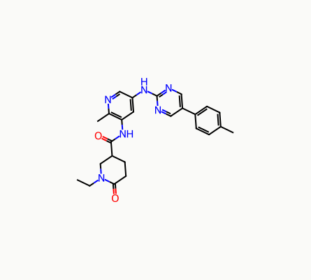 CCN1CC(C(=O)Nc2cc(Nc3ncc(-c4ccc(C)cc4)cn3)cnc2C)CCC1=O